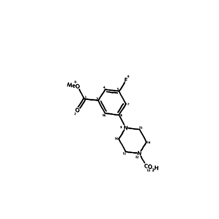 COC(=O)c1cc(F)cc(N2CCN(C(=O)O)CC2)c1